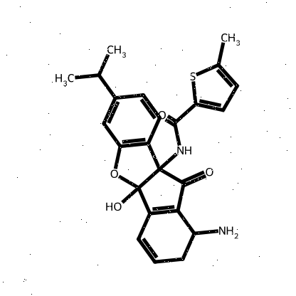 Cc1ccc(C(=O)NC23C(=O)C4=C(C=CCC4N)C2(O)Oc2cc(C(C)C)ccc23)s1